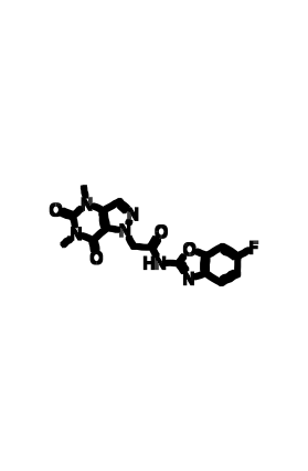 Cn1c(=O)c2c(cnn2CC(=O)Nc2nc3ccc(F)cc3o2)n(C)c1=O